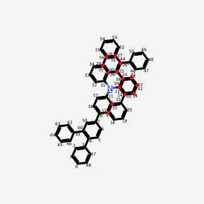 c1ccc(-c2ccc(-c3ccc(N(c4c(-c5ccccc5)cccc4-c4ccccc4)c4cccc5c4c(-c4ccccc4)c(-c4ccccc4)c4ccccc45)cc3)cc2-c2ccccc2)cc1